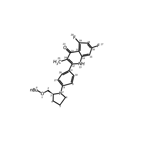 CCCCOC[C@@H]1CCCN1c1ccc(-c2[nH]c3cc(F)cc(F)c3c(=O)c2C)cc1